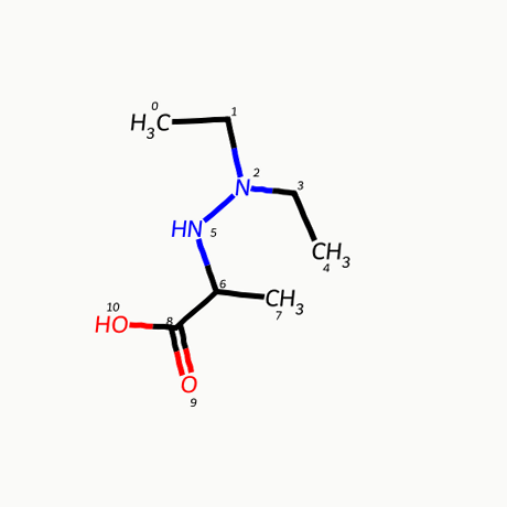 CCN(CC)NC(C)C(=O)O